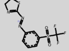 O=S(=O)(c1cccc(/N=N/C2=NCCS2)c1)C(F)(F)F